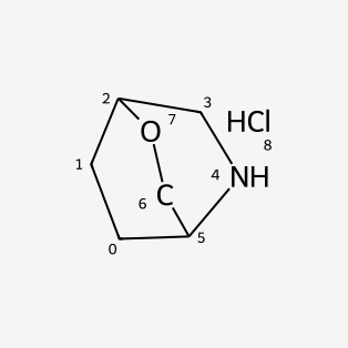 C1CC2CNC1CO2.Cl